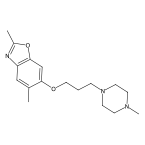 Cc1nc2cc(C)c(OCCCN3CCN(C)CC3)cc2o1